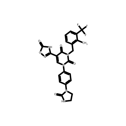 Cc1c(Cn2c(=O)c(-c3noc(=O)[nH]3)cn(-c3ccc(N4CCNC4=O)cc3)c2=O)cccc1C(F)(F)F